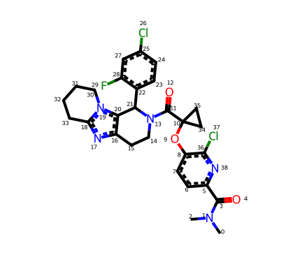 CN(C)C(=O)c1ccc(OC2(C(=O)N3CCc4nc5n(c4C3c3ccc(Cl)cc3F)CCCC5)CC2)c(Cl)n1